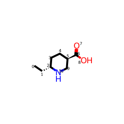 CC[C@@H]1CC[C@@H](C(=O)O)CN1